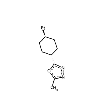 CC[C@H]1CC[C@H](c2nnc(C)o2)CC1